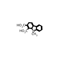 CN1c2ccccc2C2=CCC(C(=O)O)=C(C(=O)O)C21